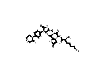 NCCCC[C@H](N)C(=O)OCC(=O)N(C[C@H]1CN(c2ccc(N3CCOCC3=O)cc2)C(=O)O1)C(=O)c1ccc(Cl)s1